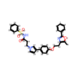 Cc1oc(-c2ccccc2)nc1CCOc1ccc(-c2ccn(CCC(=O)NS(=O)(=O)c3ccccc3)c2)cc1